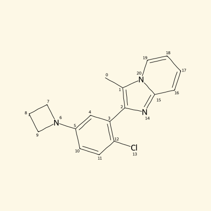 Cc1c(-c2cc(N3C[CH]C3)ccc2Cl)nc2ccccn12